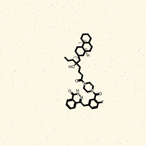 CCC[C@@](O)(CCCC(=O)N1CCN(C(=O)c2cc(Cc3n[nH]c(=O)c4ccccc34)ccc2F)CC1)C[C@@]1(C)CCC2[C@@H](CCC3CCCC[C@@]32C)C1